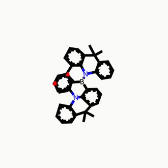 CC1(C)c2ccccc2N(B2c3ccccc3N3c4ccccc4C(C)(C)c4cccc2c43)c2c(-c3ccccc3)cccc21